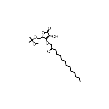 CCCCCCCCCCCCC(=O)COC1=C(O)C(=O)O[C@@H]1[C@@H]1COC(C)(C)O1